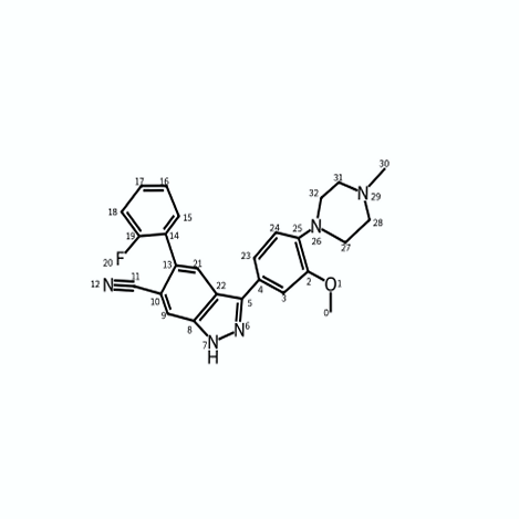 COc1cc(-c2n[nH]c3cc(C#N)c(-c4ccccc4F)cc23)ccc1N1CCN(C)CC1